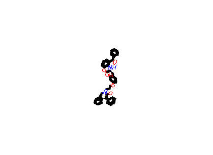 O=C(c1ccccc1)c1ccccc1N[C@@H](Cc1ccc(OCCCN(Cc2ccccc2)C(=O)Cc2ccccc2)cc1)C(=O)O